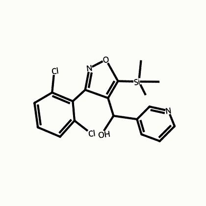 C[Si](C)(C)c1onc(-c2c(Cl)cccc2Cl)c1C(O)c1cccnc1